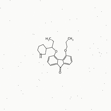 CCCOc1cccc2c1-c1c(OC(CC)C3CCCNC3)cccc1C2=O